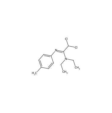 CCN(CC)C(=Nc1ccc(C)cc1)C(Cl)Cl